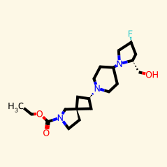 CCOC(=O)N1CC[C@]2(C1)C[C@@H](N1CCC(N3C[C@H](F)C[C@@H]3CO)CC1)C2